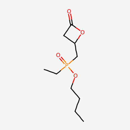 CCCCOP(=O)(CC)CC1CC(=O)O1